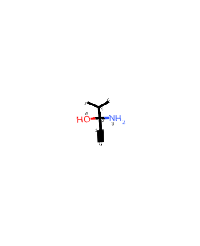 C#CC(N)(O)C(C)C